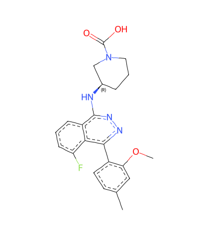 COc1cc(C)ccc1-c1nnc(N[C@@H]2CCCN(C(=O)O)C2)c2cccc(F)c12